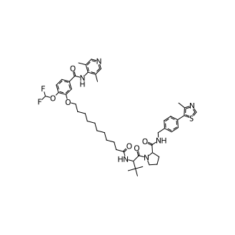 Cc1cncc(C)c1NC(=O)c1ccc(OC(F)F)c(OCCCCCCCCCCC(=O)NC(C(=O)N2CCCC2C(=O)NCc2ccc(-c3scnc3C)cc2)C(C)(C)C)c1